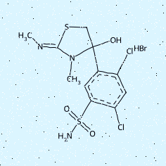 Br.CN=C1SCC(O)(c2cc(S(N)(=O)=O)c(Cl)cc2Cl)N1C